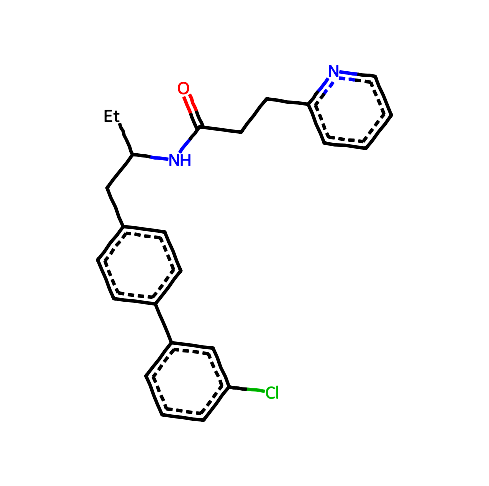 CCC(Cc1ccc(-c2cccc(Cl)c2)cc1)NC(=O)CCc1ccccn1